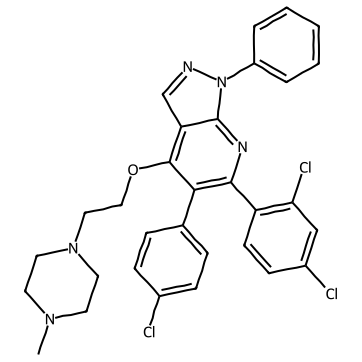 CN1CCN(CCOc2c(-c3ccc(Cl)cc3)c(-c3ccc(Cl)cc3Cl)nc3c2cnn3-c2ccccc2)CC1